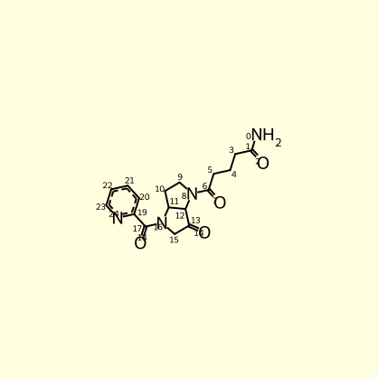 NC(=O)CCCC(=O)N1CCC2C1C(=O)CN2C(=O)c1ccccn1